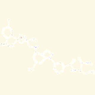 COc1ccc(F)cc1C(C)(C)CC(O)(CNc1cc(C)cc2c1cnn2-c1cccc(C(=O)N[C@@H](CC(=O)O)C(N)=O)c1)C(F)(F)F